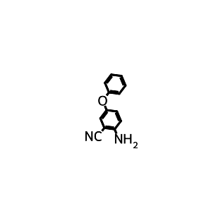 N#Cc1cc(Oc2ccccc2)ccc1N